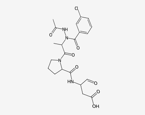 CC(=O)NN(C(=O)c1cccc(Cl)c1)C(C)C(=O)N1CCCC1C(=O)NC(C=O)CC(=O)O